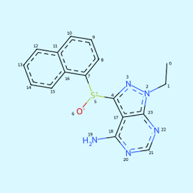 CCn1nc([S+]([O-])c2cccc3ccccc23)c2c(N)ncnc21